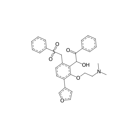 CN(C)CCOc1c(-c2ccoc2)ccc(CS(=O)(=O)c2ccccc2)c1C(O)C(=O)c1ccccc1